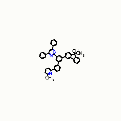 Cc1cccc(-c2cccc(-c3cc(-c4ccc5c(c4)-c4ccccc4C5(C)C)cc(-c4nc(-c5ccccc5)cc(-c5ccccc5)n4)c3)c2)n1